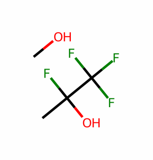 CC(O)(F)C(F)(F)F.CO